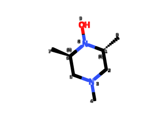 C[C@@H]1CN(C)C[C@@H](C)N1O